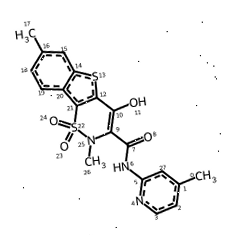 Cc1ccnc(NC(=O)C2=C(O)c3sc4cc(C)ccc4c3S(=O)(=O)N2C)c1